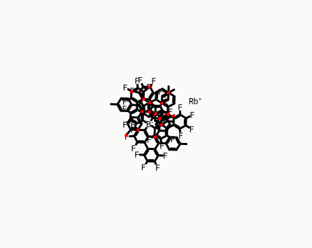 Cc1ccc(-c2c(-c3ccc(C)cc3)c3c([B-](c4c(F)c(F)c(F)c5c4c(-c4ccc(C)cc4)c(-c4ccc(C)cc4)c4c(F)c(F)c(F)c(F)c45)(c4c(F)c(F)c(F)c5c4c(-c4ccc(C)cc4)c(-c4ccc(C)cc4)c4c(F)c(F)c(F)c(F)c45)c4c(F)c(F)c(F)c5c4c(-c4ccc(C)cc4)c(-c4ccc(C)cc4)c4c(F)c(F)c(F)c(F)c45)c(F)c(F)c(F)c3c3c(F)c(F)c(F)c(F)c23)cc1.[Rb+]